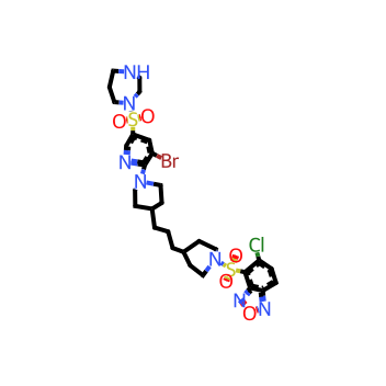 O=S(=O)(c1cnc(N2CCC(CCCC3CCN(S(=O)(=O)c4c(Cl)ccc5nonc45)CC3)CC2)c(Br)c1)N1CCCNCC1